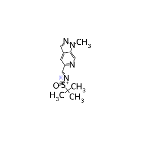 Cn1ncc2cc(/C=N/[S@+]([O-])C(C)(C)C)ncc21